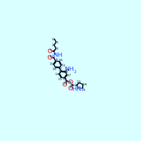 CCCCC(=O)NC(=O)c1ccc(-c2ccc(C(=O)OC(=O)[C@@H]3CCCN3)cc2N)cc1